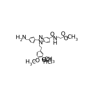 COC(=O)CCNC(=O)c1ccc2c(c1)nc(-c1ccc(CN)cc1)n2CCc1ccc(OC)c(OC)c1.Cl.Cl